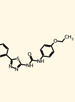 CCOc1ccc(NC(=O)Nc2nnc(-c3ccncc3)s2)cc1